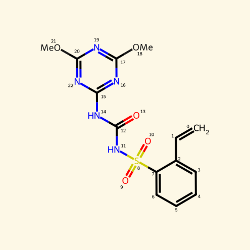 C=Cc1ccccc1S(=O)(=O)NC(=O)Nc1nc(OC)nc(OC)n1